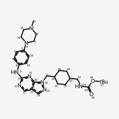 CN1CCN(c2ccc(Nc3ncc4cnn(CC5CCC(CNC(=O)OC(C)(C)C)CC5)c4n3)cc2)CC1